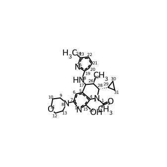 CC(=O)N1c2c(cc(N3CCOCC3)nc2O)C(Nc2cccc(C)n2)[C@@H](C)[C@@H]1C1CC1